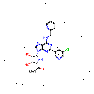 CNC(=O)[C@H]1N[C@@H](n2cnc3c(NCc4ccccn4)nc(-c4cncc(Cl)c4)nc32)[C@H](O)[C@@H]1O